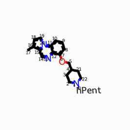 CCCCCN1CCC(COc2cccc3c2ncc2c(C)ccn23)CC1